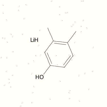 Cc1ccc(O)cc1C.[LiH]